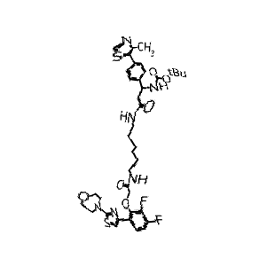 Cc1ncsc1-c1ccc(C(CC(=O)NCCCCCCNC(=O)COc2c(-c3csc(N4CCOCC4)n3)ccc(F)c2F)NC(=O)OC(C)(C)C)cc1